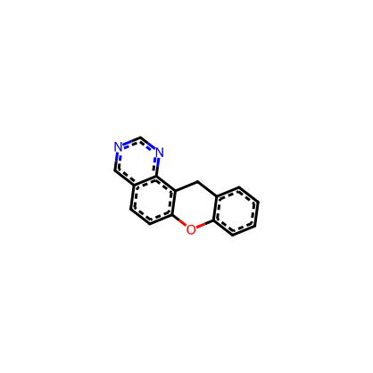 c1ccc2c(c1)Cc1c(ccc3cncnc13)O2